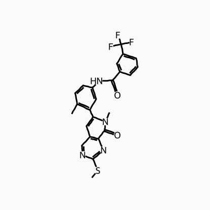 CSc1ncc2cc(-c3cc(NC(=O)c4cccc(C(F)(F)F)c4)ccc3C)n(C)c(=O)c2n1